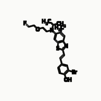 Cc1cc2nc(/C=C/c3ccc(O)c(Br)c3)sc2cc1N(CCOCCF)C(C)C